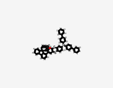 c1ccc(-c2ccc(N(c3ccc(-c4ccccc4)cc3)c3ccc4c(c3)Sc3ccc(-c5cccc6c5C5(c7ccccc7-6)C6CC7CC(C6)CC5C7)cc3S4)cc2)cc1